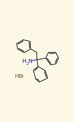 Br.NC(Cc1ccccc1)(c1ccccc1)c1ccccc1